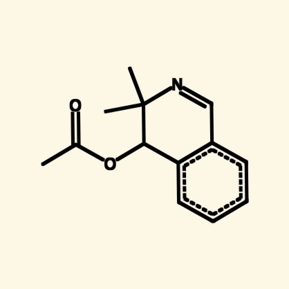 CC(=O)OC1c2ccccc2C=NC1(C)C